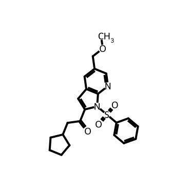 COCc1cnc2c(c1)cc(C(=O)CC1CCCC1)n2S(=O)(=O)c1ccccc1